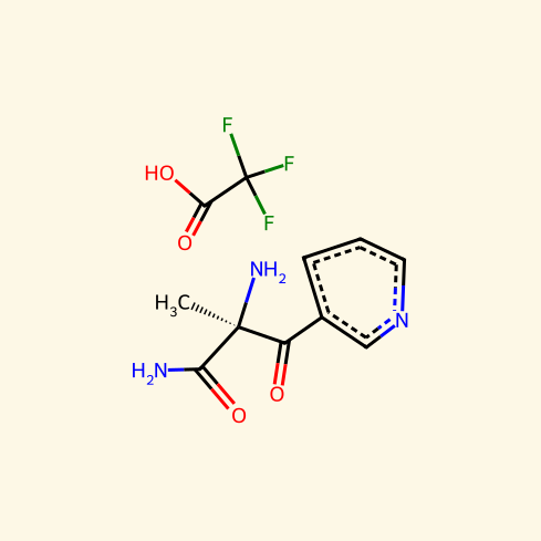 C[C@@](N)(C(N)=O)C(=O)c1cccnc1.O=C(O)C(F)(F)F